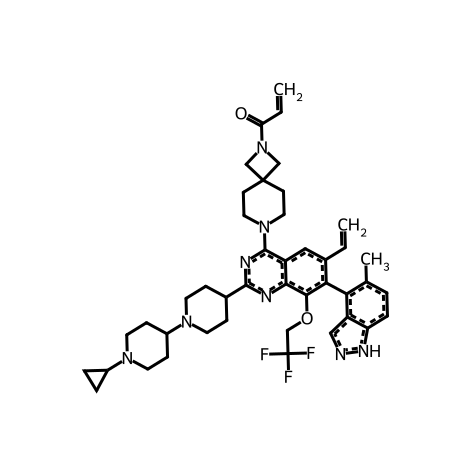 C=CC(=O)N1CC2(CCN(c3nc(C4CCN(C5CCN(C6CC6)CC5)CC4)nc4c(OCC(F)(F)F)c(-c5c(C)ccc6[nH]ncc56)c(C=C)cc34)CC2)C1